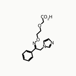 O=C(O)COCCON=C(Cn1ccnc1)c1ccccc1